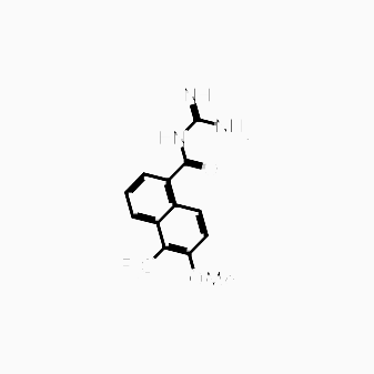 COc1ccc2c(C(=O)NC(=N)N)cccc2c1C(F)(F)F